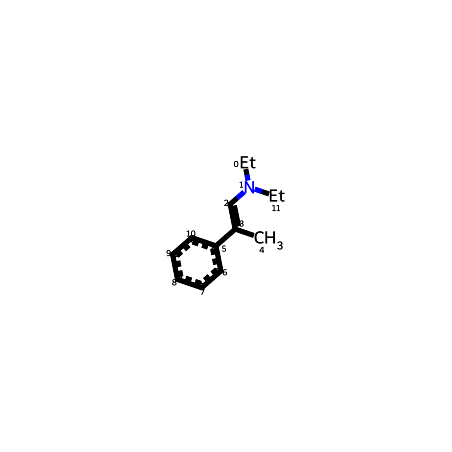 CCN(C=C(C)c1ccccc1)CC